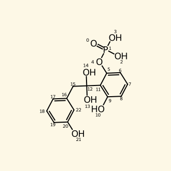 O=P(O)(O)Oc1cccc(O)c1C(O)(O)Cc1cccc(O)c1